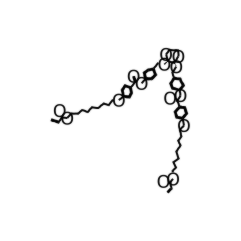 C=CC(=O)OCCCCCCCCCOc1ccc(C(=O)Oc2ccc(CO[C@H]3OCCO[C@@H]3OCc3ccc(OC(=O)c4ccc(OCCCCCCCCCOC(=O)C=C)cc4)cc3)cc2)cc1